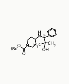 CC(C)(C)OC(=O)N1CCC(N[C@@H](c2ccccc2)C(C)(C)O)CC1